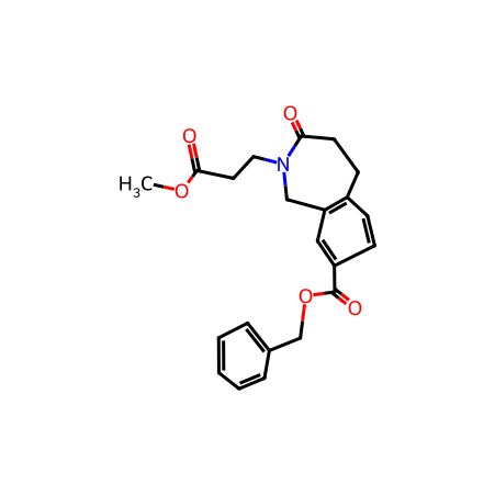 COC(=O)CCN1Cc2cc(C(=O)OCc3ccccc3)ccc2CCC1=O